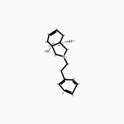 C1=CC[C@H]2CN(CCc3ccccc3)C[C@H]2C1